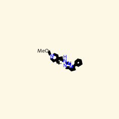 COCCN1CCc2ccc(Nc3ncc4ccc(-c5ccccc5)n4n3)cc2CC1